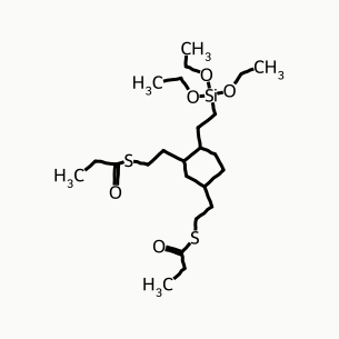 CCO[Si](CCC1CCC(CCSC(=O)CC)CC1CCSC(=O)CC)(OCC)OCC